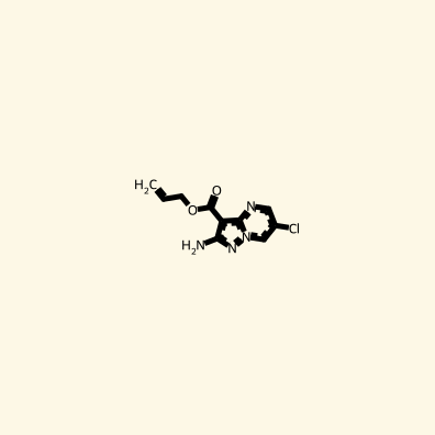 C=CCOC(=O)c1c(N)nn2cc(Cl)cnc12